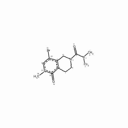 CN(C)C(=O)N1CCc2c(c(Br)cn(C)c2=O)C1